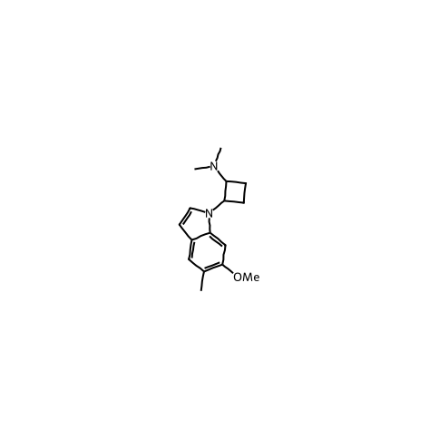 COc1cc2c(ccn2C2CCC2N(C)C)cc1C